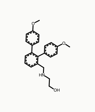 COc1ccc(-c2cccc(CNCCO)c2-c2ccc(OC)cc2)cc1